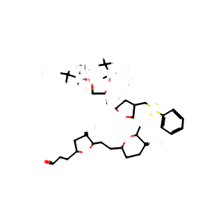 C=C1CC(CCC=O)OC1CCC1C[C@@H](C)C(=C)C(C[C@@H]2O[C@H](C[C@@H](CO[Si](C)(C)C(C)(C)C)O[Si](C)(C)C(C)(C)C)[C@H](OC)C2CS(=O)(=O)c2ccccc2)O1